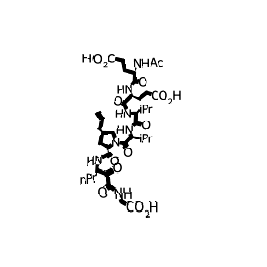 C=CC[C@@H]1C[C@@H](C(=O)N[C@@H](CCC)C(=O)C(=O)NCC(=O)O)N(C(=O)[C@@H](NC(=O)[C@@H](NC(=O)[C@H](CCC(=O)O)NC(=O)[C@H](CCC(=O)O)NC(C)=O)C(C)C)C(C)C)C1